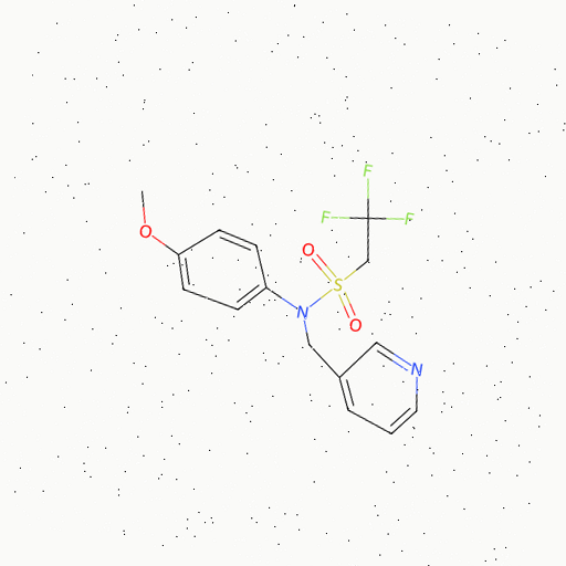 COc1ccc(N(Cc2cccnc2)S(=O)(=O)CC(F)(F)F)cc1